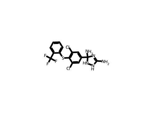 NC1=NC(N)(c2cc(Cl)c(Sc3ccccc3C(F)(F)F)c(Cl)c2)NN1